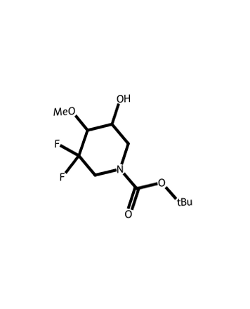 COC1C(O)CN(C(=O)OC(C)(C)C)CC1(F)F